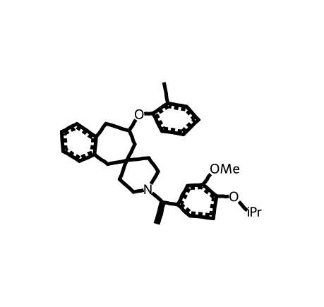 C=C(c1ccc(OC(C)C)c(OC)c1)N1CCC2(CC1)Cc1ccccc1CC(Oc1ccccc1C)C2